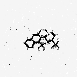 Cc1cc2ccccc2c(C(C)(C)F)c1-c1cc(C(C)(C)C)cc[n+]1C